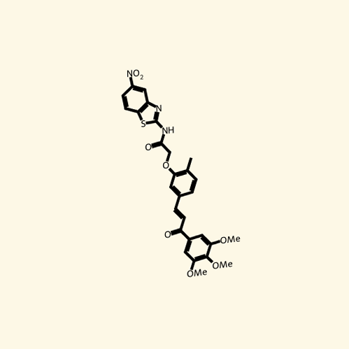 COc1cc(C(=O)/C=C/c2ccc(C)c(OCC(=O)Nc3nc4cc([N+](=O)[O-])ccc4s3)c2)cc(OC)c1OC